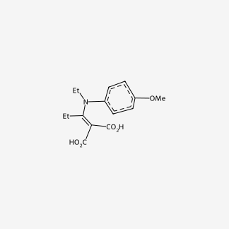 CCC(=C(C(=O)O)C(=O)O)N(CC)c1ccc(OC)cc1